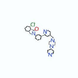 O=C1c2c(Cl)cccc2CN1c1cccc(-c2cc(CN3CCN(c4ccncc4)CC3)ccn2)c1